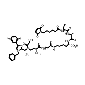 CC(C)C(NC(=O)CCCCCN1C(=O)C=CC1=O)C(=O)N[C@@H](C)C(=O)N[C@@H](CCCCNC(=O)CCNC(=O)[C@@H](N)CCN(C(=O)CO)[C@@H](c1nc(-c2cc(F)ccc2F)cn1Cc1ccccc1)C(C)(C)C)C(=O)O